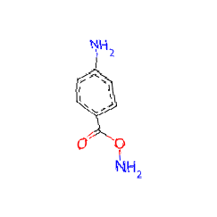 NOC(=O)c1ccc(N)cc1